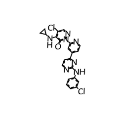 O=c1c(NC2CC2)c(Cl)cnn1-c1cc(-c2ccnc(Nc3cccc(Cl)c3)n2)ccn1